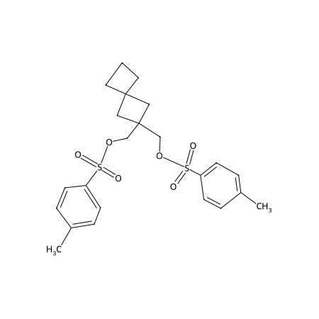 Cc1ccc(S(=O)(=O)OCC2(COS(=O)(=O)c3ccc(C)cc3)CC3(CCC3)C2)cc1